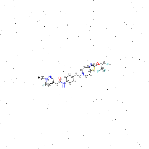 C=C(/C=N\N(C)CF)CC(=O)NC1CCC(CCN2CCc3nc(OC(CF)C(F)F)sc3CC2)CC1